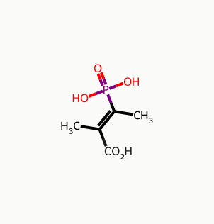 C/C(C(=O)O)=C(/C)P(=O)(O)O